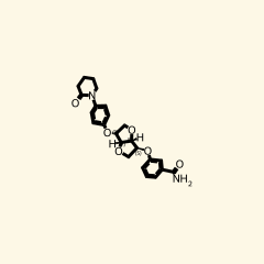 NC(=O)c1cccc(O[C@H]2CO[C@H]3[C@@H]2OC[C@H]3Oc2ccc(N3CCCCC3=O)cc2)c1